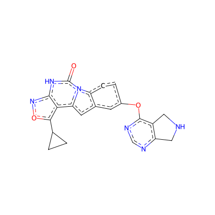 O=c1[nH]c2noc(C3CC3)c2c2cc3cc(Oc4ncnc5c4CNC5)ccc3n12